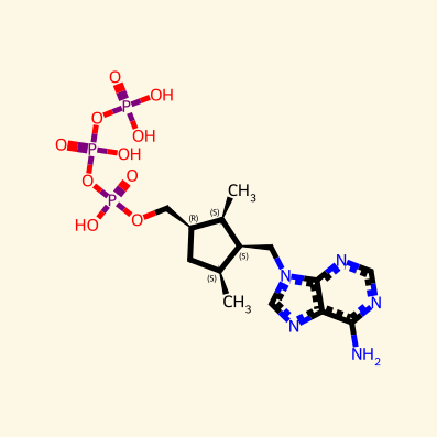 C[C@@H]1[C@H](COP(=O)(O)OP(=O)(O)OP(=O)(O)O)C[C@H](C)[C@@H]1Cn1cnc2c(N)ncnc21